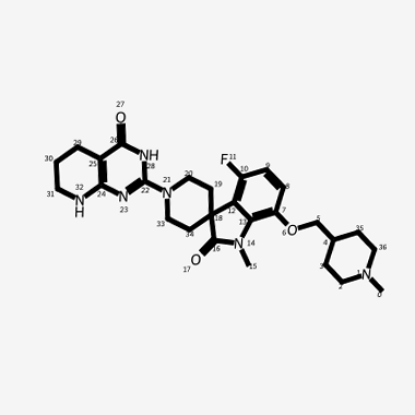 CN1CCC(COc2ccc(F)c3c2N(C)C(=O)C32CCN(c3nc4c(c(=O)[nH]3)CCCN4)CC2)CC1